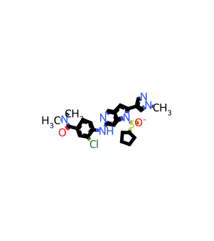 CN(C)C(=O)c1ccc(Nc2cc3c(cn2)cc(-c2cnn(C)c2)n3[S+]([O-])C2CCCC2)c(Cl)c1